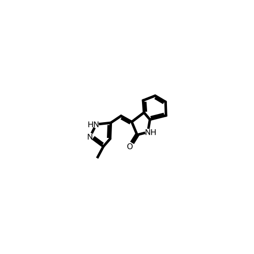 Cc1cc(/C=C2\C(=O)Nc3ccccc32)[nH]n1